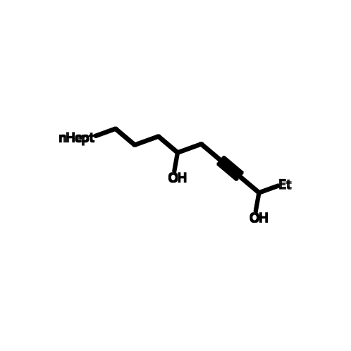 CCCCCCCCCCC(O)CC#CC(O)CC